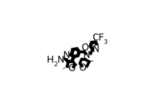 C[C@@H]1COCC[C@H]1N(Cc1ccc(C(F)(F)F)cn1)C(=O)c1ccc2nc(N)c3c(c2c1)CO[C@@H]3C